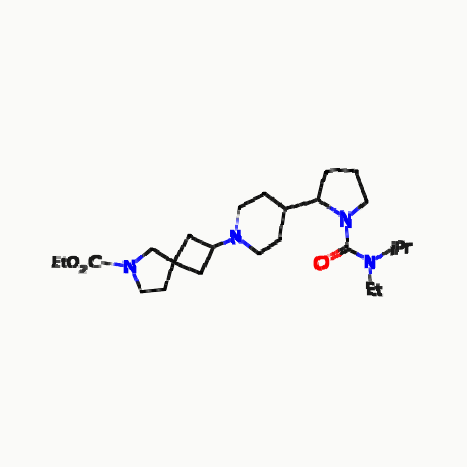 CCOC(=O)N1CCC2(CC(N3CCC(C4CCCN4C(=O)N(CC)C(C)C)CC3)C2)C1